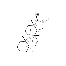 C[C@]12CCCC[C@@H]1CC[C@@H]1[C@@H]2CC[C@]2(C)[C@@H](O)[C@H](F)C[C@@H]12